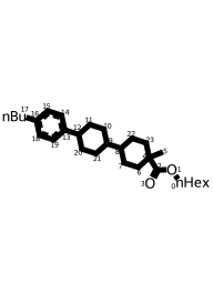 CCCCCCOC(=O)C1(C)CCC(C2CCC(c3ccc(CCCC)cc3)CC2)CC1